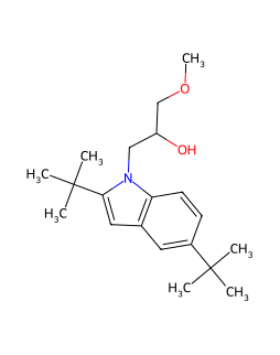 COCC(O)Cn1c(C(C)(C)C)cc2cc(C(C)(C)C)ccc21